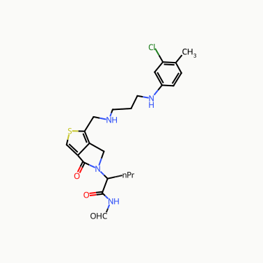 CCCC(C(=O)NC=O)N1Cc2c(csc2CNCCCNc2ccc(C)c(Cl)c2)C1=O